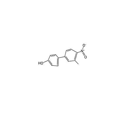 Cc1cc(-c2ccc(O)cc2)ccc1[N+](=O)[O-]